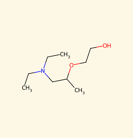 CCN(CC)CC(C)OCCO